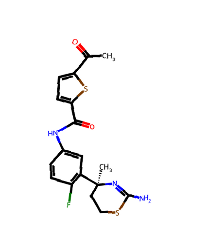 CC(=O)c1ccc(C(=O)Nc2ccc(F)c([C@]3(C)CCSC(N)=N3)c2)s1